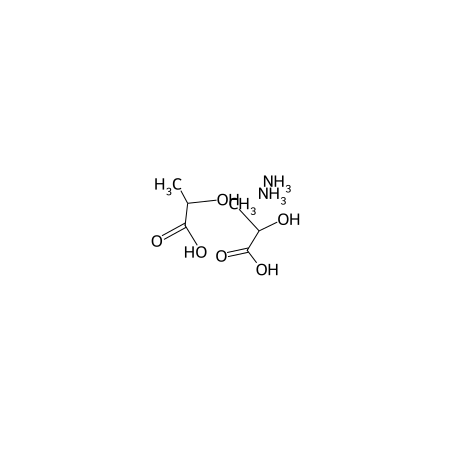 CC(O)C(=O)O.CC(O)C(=O)O.N.N